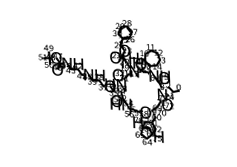 CCC[C@H]1C(=O)N[C@@H](C2CCCCCC2)C(=O)N[C@@H](CNC(=O)OCc2ccccc2)C(=O)N[C@@H](COCCCNCCCNC(=O)OC(C)(C)C)C(=O)N[C@H](C)CO[C@H](CC2C[C@H]3CC[C@@H](C2)C3)[C@@H](C)C(=O)N1C